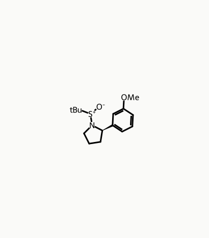 COc1cccc([C@H]2CCCN2[S+]([O-])C(C)(C)C)c1